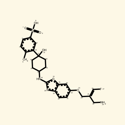 Cc1ccc(S(=O)(=O)O)cc1C1(O)CCC(Nc2nc3ccc(OCC(=CF)CN)cc3o2)CC1